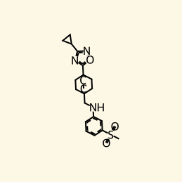 CS(=O)(=O)c1cccc(NCC23CCC(c4nc(C5CC5)no4)(CC2)CC3)c1